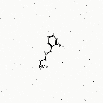 CNCCOCc1ccccc1F